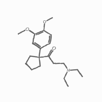 CCN(CC)CCC(=O)C1(c2ccc(OC)c(OC)c2)CCCC1